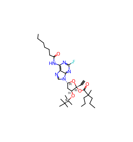 C#C[C@]1(OC(=O)C(C)(CCC)CCC)O[C@@H](n2cnc3c(NC(=O)CCCCCC)nc(F)nc32)C[C@@H]1O[Si](C)(C)C(C)(C)C